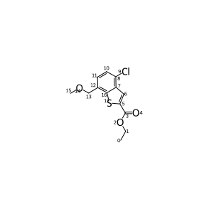 CCOC(=O)c1cc2c(Cl)ccc(COC)c2s1